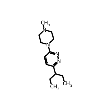 CCC(CC)c1ccc(N2CCN(C)CC2)nn1